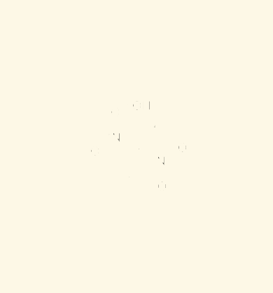 CCCC(CO)([N+](=O)[O-])[N+](=O)[O-]